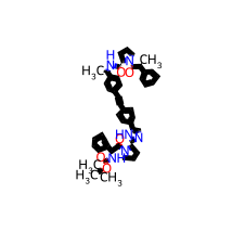 C[C@@H](NC(=O)[C@@H]1CCCN1C(=O)[C@H](C)c1ccccc1)c1ccc(C#Cc2ccc(-c3cnc([C@@H]4CCCN4C(=O)[C@H](NC(=O)OC(C)(C)C)c4ccccc4)[nH]3)cc2)cc1